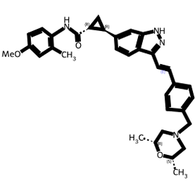 COc1ccc(NC(=O)[C@@H]2C[C@H]2c2ccc3c(/C=C/c4ccc(CN5C[C@@H](C)O[C@@H](C)C5)cc4)n[nH]c3c2)c(C)c1